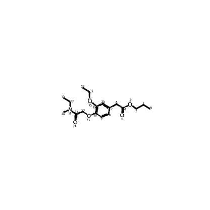 CCCOC(=O)Cc1ccc(OCC(=O)N(C)CC)c(OCC)c1